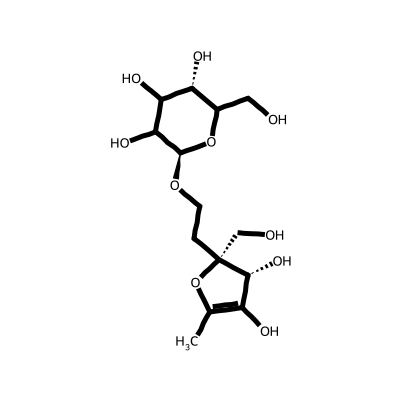 CC1=C(O)[C@@H](O)[C@](CO)(CCO[C@@H]2OC(CO)[C@@H](O)C(O)C2O)O1